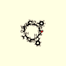 CC(C)[C@H]1NC(=O)[C@H]2N=C(O[C@@H]2C)[C@@H]2CCCN2C(=O)[C@H](Cc2ccccc2)NC(=O)[C@@H]2CSC(=N2)[C@@H](Cc2ccccc2)NC(=O)[C@@H]2CSC1=N2